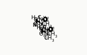 CCN=C(C(=O)[O-])N(C)C1=C(C)C=CC1.CCN=C(C(=O)[O-])N(C)C1=C(C)C=CC1.[Ni+2]